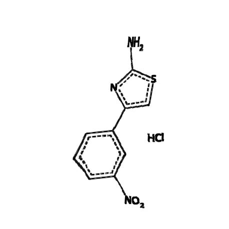 Cl.Nc1nc(-c2cccc([N+](=O)[O-])c2)cs1